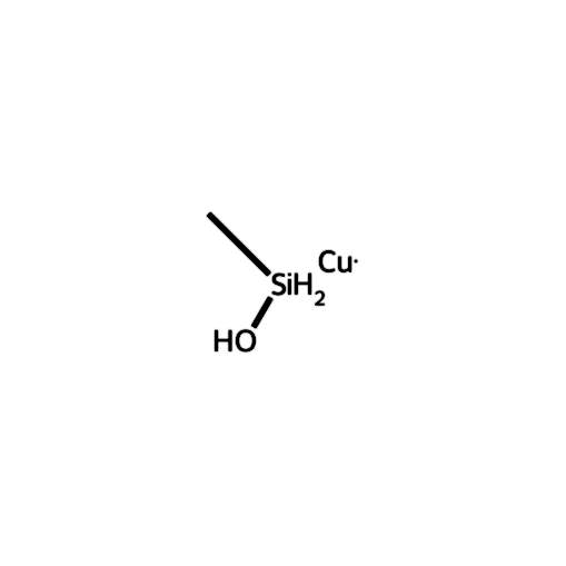 C[SiH2]O.[Cu]